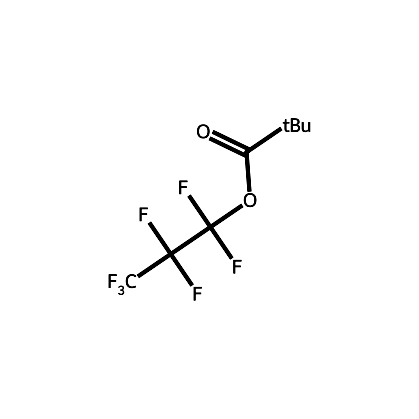 CC(C)(C)C(=O)OC(F)(F)C(F)(F)C(F)(F)F